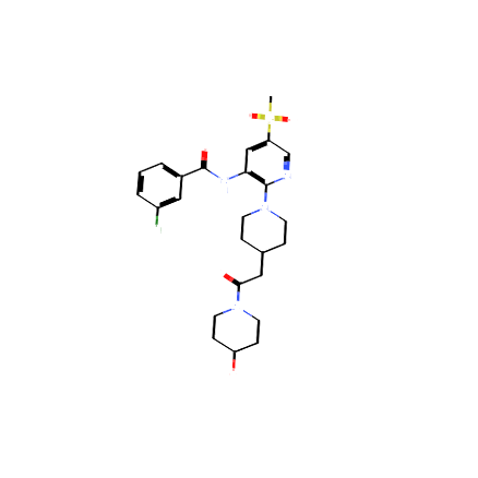 CS(=O)(=O)c1cnc(N2CCC(CC(=O)N3CCC(O)CC3)CC2)c(NC(=O)c2cccc(Cl)c2)c1